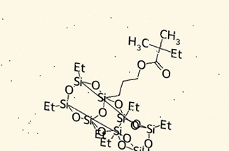 CCC(C)(C)C(=O)OCCC[Si]12O[Si]3(CC)O[Si]4(CC)O[SiH]5O[Si](CC)(O3)O[Si](CC)(O1)[Si](CC)(O5)O[Si](CC)(O4)O2